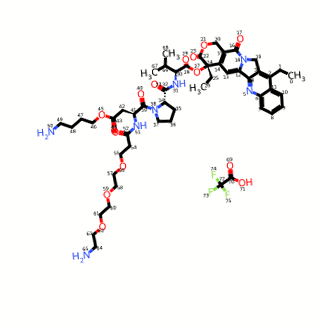 CCc1c2c(nc3ccccc13)-c1cc3c(c(=O)n1C2)COC(=O)[C@@]3(CC)OC(=O)[C@@H](NC(=O)[C@@H]1CCCN1C(=O)[C@H](CC(=O)OCCCCN)NC(=O)CCOCCOCCOCCN)C(C)C.O=C(O)C(F)(F)F